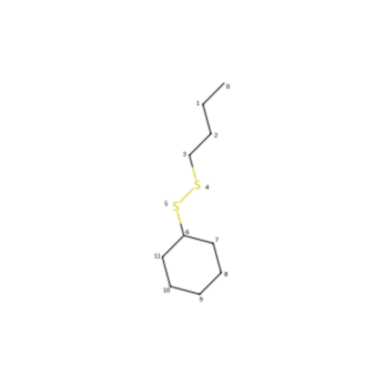 CCCCSSC1CCCCC1